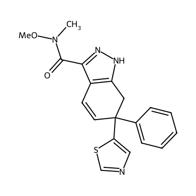 CON(C)C(=O)c1n[nH]c2c1C=CC(c1ccccc1)(c1cncs1)C2